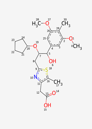 COc1cc(C(O)C(Cc2nc(CC(=O)O)c(C)s2)OC2CCCC2)cc(OC)c1C